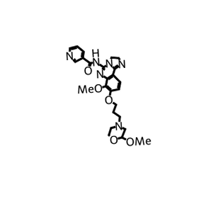 COc1c(OCCCN2CCOC(OC)C2)ccc2c1N=C(NC(=O)c1cccnc1)N1CCN=C21